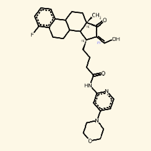 C[C@]12CCC3c4cccc(F)c4CCC3C1[C@H](CCCC(=O)Nc1cc(N3CCOCC3)ccn1)/C(=C/O)C2=O